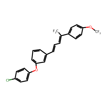 FC(F)(F)Oc1ccc(C(=CC=Cc2cccc(Oc3ccc(Cl)cc3)c2)C(F)(F)F)cc1